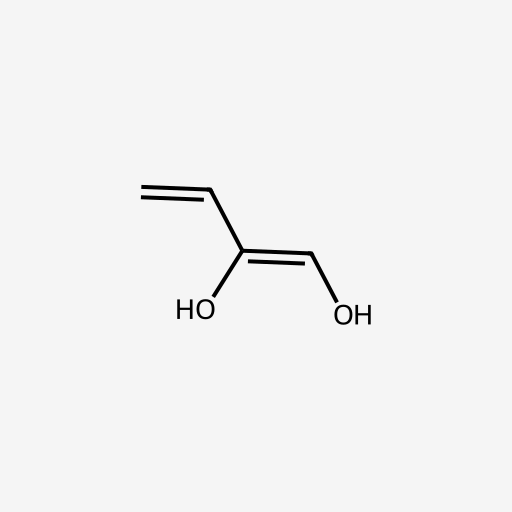 C=C/C(O)=C/O